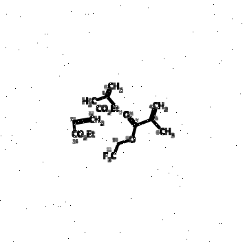 C=C(C)C(=O)OCC.C=C(C)C(=O)OCC(F)(F)F.C=CC(=O)OCC